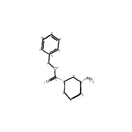 N[C@@H]1CCC[C@H](C(=O)OCc2ccccc2)C1